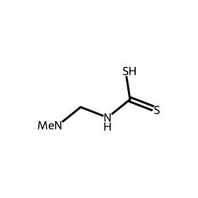 CNCNC(=S)S